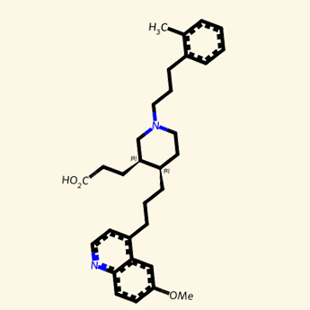 COc1ccc2nccc(CCC[C@@H]3CCN(CCCc4ccccc4C)C[C@@H]3CCC(=O)O)c2c1